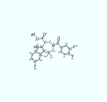 CC(C)OC(=O)C1CN(C(=O)c2ccc(F)c(F)c2)CC(C)(C)c2c1[nH]c1ccc(F)cc21